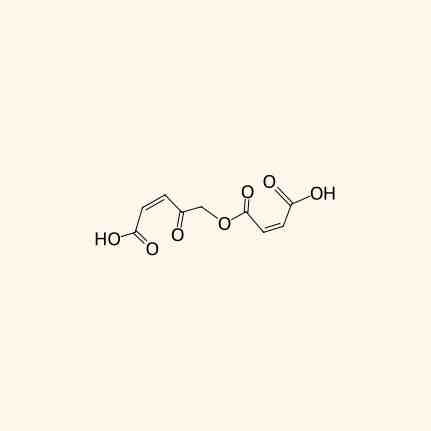 O=C(O)/C=C\C(=O)COC(=O)/C=C\C(=O)O